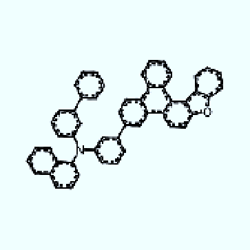 c1ccc(-c2cccc(N(c3cccc(-c4ccc5c6ccccc6c6c(ccc7oc8ccccc8c76)c5c4)c3)c3cccc4ccccc34)c2)cc1